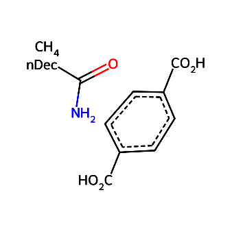 C.CCCCCCCCCCC(N)=O.O=C(O)c1ccc(C(=O)O)cc1